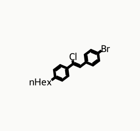 CCCCCCc1ccc(C(Cl)=Cc2ccc(Br)cc2)cc1